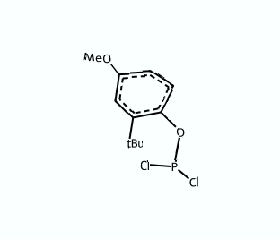 COc1ccc(OP(Cl)Cl)c(C(C)(C)C)c1